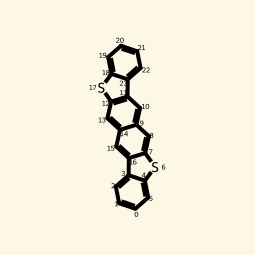 c1ccc2c(c1)sc1cc3cc4c(cc3cc12)sc1ccccc14